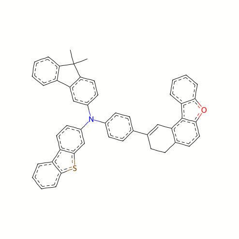 CC1(C)c2ccccc2-c2cc(N(c3ccc(C4=Cc5c(ccc6oc7ccccc7c56)CC4)cc3)c3ccc4c(c3)sc3ccccc34)ccc21